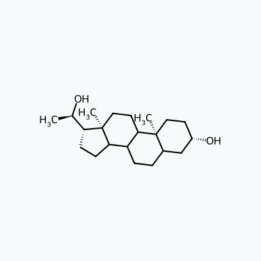 C[C@@H](O)[C@H]1CCC2C3CCC4C[C@@H](O)CC[C@]4(C)C3CC[C@@]21C